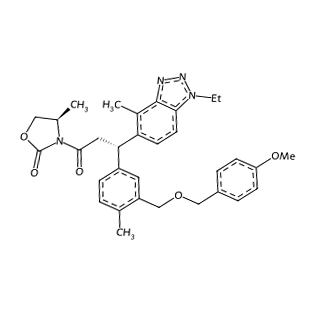 CCn1nnc2c(C)c([C@@H](CC(=O)N3C(=O)OC[C@H]3C)c3ccc(C)c(COCc4ccc(OC)cc4)c3)ccc21